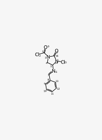 O=C(Cl)N1CC(N=Cc2ccccc2)N(Cl)C1=O